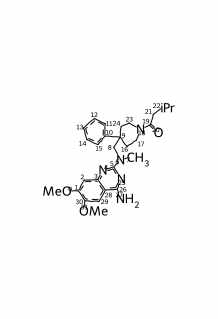 COc1cc2nc(N(C)CC3(c4ccccc4)CCN(C(=O)CC(C)C)CC3)nc(N)c2cc1OC